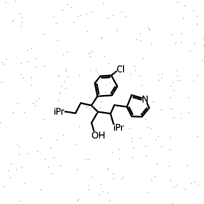 CC(C)CCC(c1ccc(Cl)cc1)C(CO)C(Cc1cccnc1)C(C)C